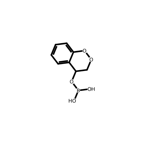 OB(O)OC1COOc2ccccc21